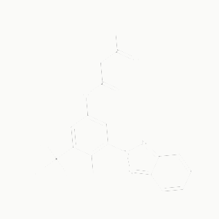 CC(C)(C)c1cc(OC(=O)CC(=O)O)cc(-n2nc3ccccc3n2)c1O